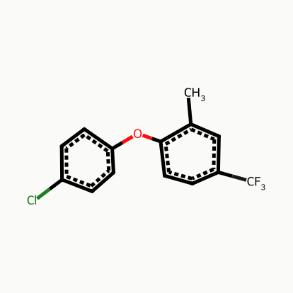 Cc1cc(C(F)(F)F)ccc1Oc1ccc(Cl)cc1